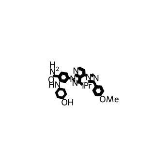 COc1ccc(-c2cn(-c3ccnc4c3c(C(C)C)nn4-c3ccc(C(N)=O)c(NC4CCC(O)CC4)c3)cn2)cc1